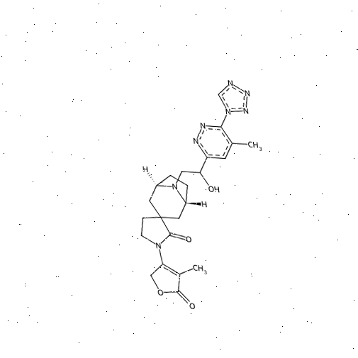 CC1=C(N2CCC3(C[C@H]4CC[C@H](C3)N4CC(O)c3cc(C)c(-n4cnnn4)nn3)C2=O)COC1=O